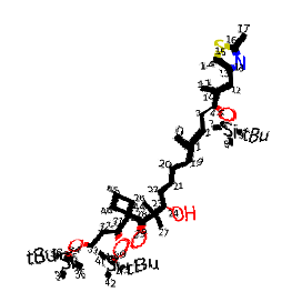 C/C(=C\C[C@H](O[Si](C)(C)C(C)(C)C)/C(C)=C/c1csc(C)n1)CCCC[C@H](O)C(C)(C)C(=O)C1([C@H](CCO[Si](C)(C)C(C)(C)C)O[Si](C)(C)C(C)(C)C)CCC1